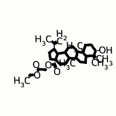 C=C(C)[C@@H]1CC[C@]2(C(=O)OCC(=O)OCC)CCC3C(CCC4[C@@]3(C)CCC3C(C)(C)[C@@H](O)CC[C@@]34C)C12